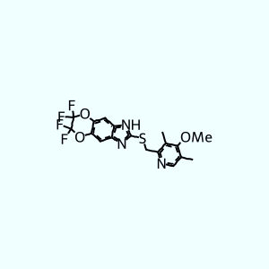 COc1c(C)cnc(CSc2nc3cc4c(cc3[nH]2)OC(F)(F)C(F)(F)O4)c1C